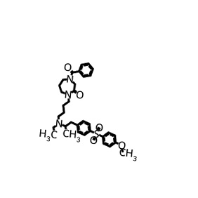 CCN(CCCCN1CCCN(C(=O)c2ccccc2)CC1=O)C(C)Cc1ccc(S(=O)(=O)c2ccc(OC)cc2)cc1